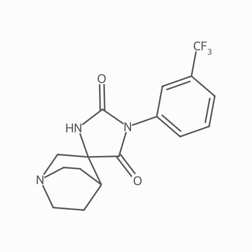 O=C1NC2(CN3CCC2CC3)C(=O)N1c1cccc(C(F)(F)F)c1